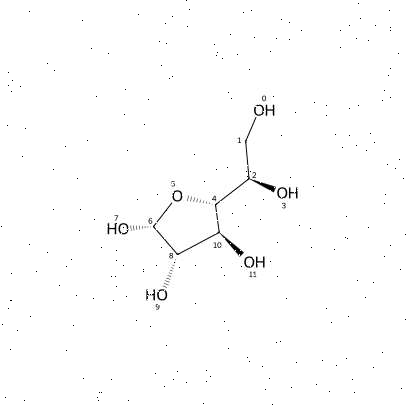 OC[C@@H](O)[C@H]1O[C@@H](O)[C@@H](O)[C@@H]1O